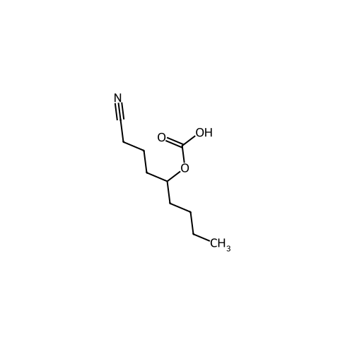 CCCCC(CCCC#N)OC(=O)O